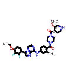 Cc1cc(Nc2nccn3c(-c4ccc(OCC#N)c(F)c4F)cnc23)ccc1C(=O)N1CCN(C(=O)[C@@H]2CCNC[C@@H]2OC=O)CC1